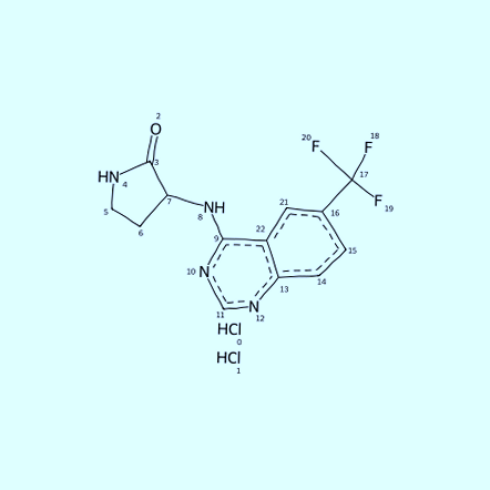 Cl.Cl.O=C1NCCC1Nc1ncnc2ccc(C(F)(F)F)cc12